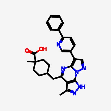 Cc1n[nH]c2c1c(CC1CCC(C)(C(=O)O)CC1)nc1c(-c3ccc(-c4ccccc4)nc3)cnn12